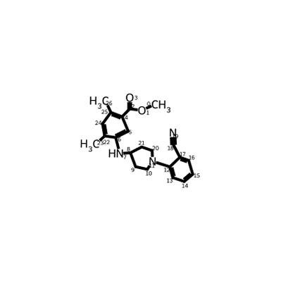 COC(=O)c1cc(NC2CCN(c3ccccc3C#N)CC2)c(C)cc1C